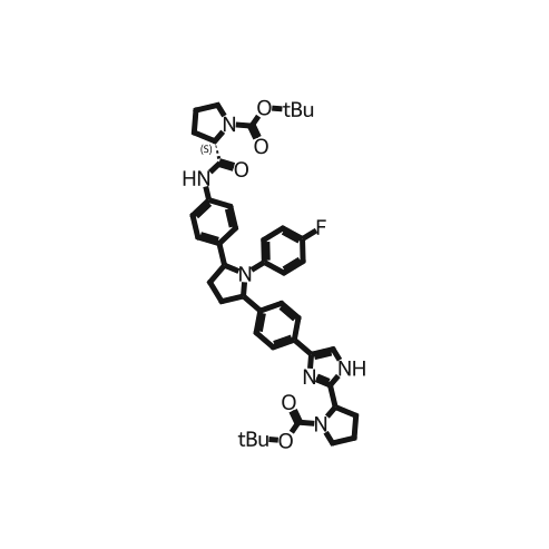 CC(C)(C)OC(=O)N1CCCC1c1nc(-c2ccc(C3CCC(c4ccc(NC(=O)[C@@H]5CCCN5C(=O)OC(C)(C)C)cc4)N3c3ccc(F)cc3)cc2)c[nH]1